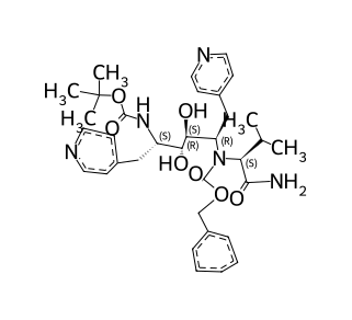 CC(C)[C@@H](C(N)=O)N(C(=O)OCc1ccccc1)[C@H](Cc1ccncc1)[C@H](O)[C@H](O)[C@H](Cc1ccncc1)NC(=O)OC(C)(C)C